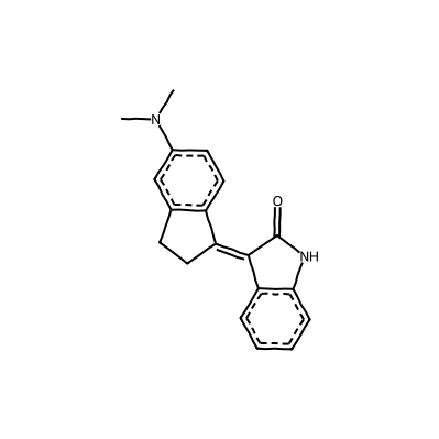 CN(C)c1ccc2c(c1)CCC2=C1C(=O)Nc2ccccc21